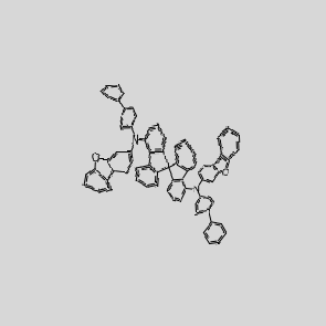 C1=C2Oc3ccccc3C2CC=C1N(c1ccc(-c2ccccc2)cc1)c1cccc2c1-c1ccccc1C21c2ccccc2-c2c(N(c3ccc(-c4ccccc4)cc3)c3ccc4c(c3)oc3ccccc34)cccc21